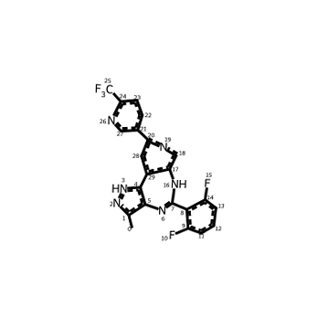 Cc1n[nH]c2c1N=C(c1c(F)cccc1F)Nc1cnc(-c3ccc(C(F)(F)F)nc3)cc1-2